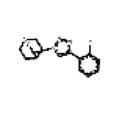 Fc1ccccc1-c1cn(C2CN3CCC2CC3)nn1